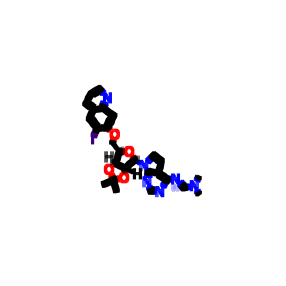 CN(C)/C=N/c1ncnc2c1ccn2[C@@H]1O[C@H](COc2cc3ncccc3cc2I)[C@H]2OC(C)(C)O[C@H]21